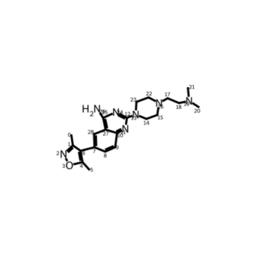 Cc1noc(C)c1-c1ccc2nc(N3CCN(CCN(C)C)CC3)nc(N)c2c1